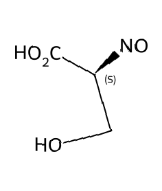 O=N[C@@H](CO)C(=O)O